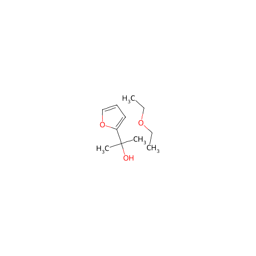 CC(C)(O)c1ccco1.CCOCC